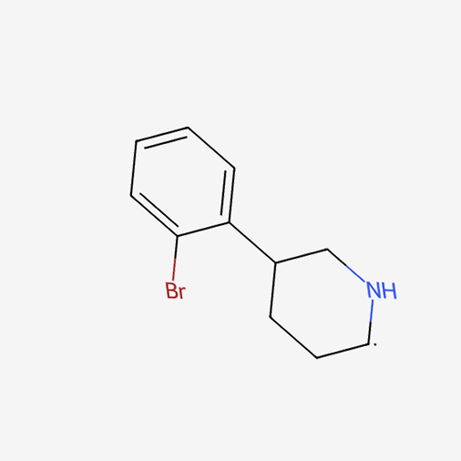 Brc1ccccc1C1CC[CH]NC1